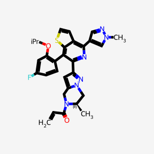 C=CC(=O)N1Cc2cc(-c3nc(-c4cnn(C)c4)c4ccsc4c3-c3ccc(F)cc3OC(C)C)nn2C[C@H]1C